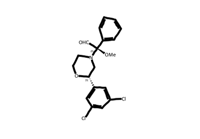 CO[C@@](C=O)(c1ccccc1)N1CCO[C@@H](c2cc(Cl)cc(Cl)c2)C1